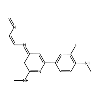 C=N/C=C\N=C1\C=C(c2ccc(NC)c(F)c2)N=C(NC)C1